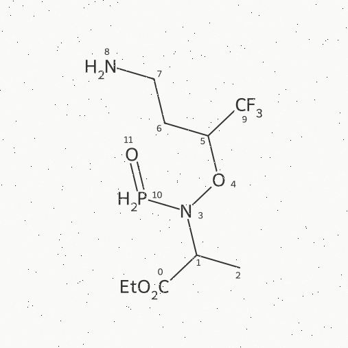 CCOC(=O)C(C)N(OC(CCN)C(F)(F)F)[PH2]=O